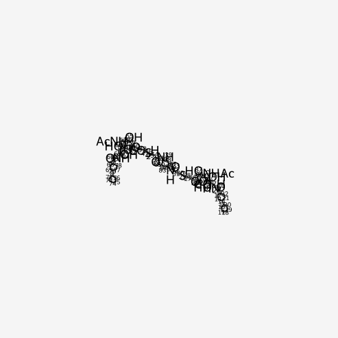 CC(=O)N[C@H]1[C@H]([C@H](O)[C@H](O)CNC(=O)c2ccc(-c3ccccc3)cc2)O[C@@](OCCCSCCC(=O)Nc2c(C)c(C)c(NC(=O)CCSCCCO[C@]3(C(=O)O)C[C@H](O)[C@@H](NC(C)=O)[C@H]([C@H](O)[C@H](O)CNC(=O)c4ccc(-c5ccccc5)cc4)O3)c(C)c2C)(C(=O)O)C[C@@H]1O